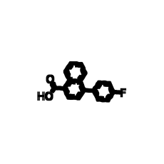 O=C(O)c1ccc(-c2ccc(F)cc2)c2ccccc12